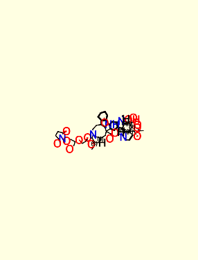 CC[C@]1(OC(=O)COC(C=O)CON2C(=O)CCC2=O)C[C@H]2CN(CCc3c([nH]c4ccccc34)C(C(=O)OC)(c3cc4c(cc3OC)N(C)[C@H]3[C@@](O)(C(=O)OC)[C@H](OC(C)=O)[C@]5(CC)C=CCN6CC[C@]43[C@@H]65)C2)C1